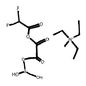 CC[N+](C)(CC)CC.O=C(OB(O)O)C(=O)OC(=O)C(F)F